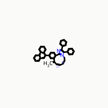 C=C1/C=C\C=C/Cn2c(nc(-c3ccccc3)c2-c2ccccc2)-c2ccc(-c3cc4ccccc4c4ccccc34)cc21